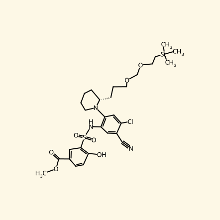 COC(=O)c1ccc(O)c(S(=O)(=O)Nc2cc(C#N)c(Cl)cc2N2CCCC[C@@H]2CCCOCOCC[Si](C)(C)C)c1